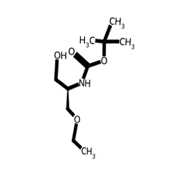 CCOC[C@@H](CO)NC(=O)OC(C)(C)C